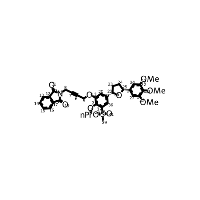 CCCOc1c(OCC#CCN2C(=O)c3ccccc3C2=O)cc([C@@H]2CC[C@@H](c3cc(OC)c(OC)c(OC)c3)O2)cc1S(C)(=O)=O